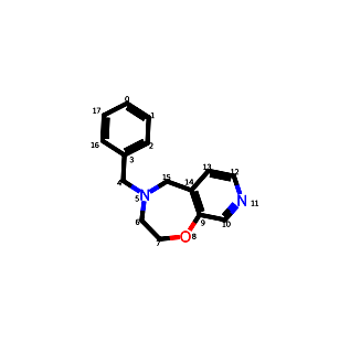 c1ccc(CN2CCOc3cnccc3C2)cc1